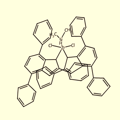 C[SiH](C)[Zr]([Cl])([Cl])([CH]1C(c2ccccc2)=Cc2c(-c3ccccc3)ccc(-c3ccccc3)c21)[CH]1C(c2ccccc2)=Cc2c(-c3ccccc3)ccc(-c3ccccc3)c21